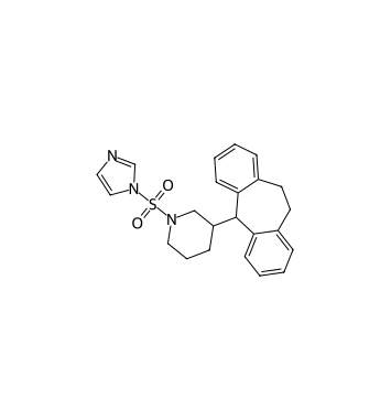 O=S(=O)(N1CCCC(C2c3ccccc3CCc3ccccc32)C1)n1ccnc1